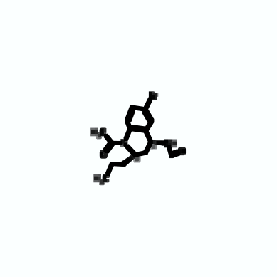 CCC[C@@H]1C[C@H](NC=O)c2cc(Br)ccc2N1C(C)=O